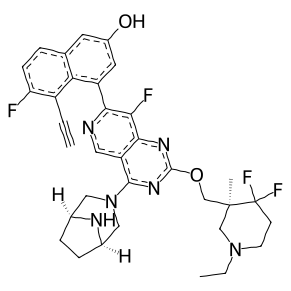 C#Cc1c(F)ccc2cc(O)cc(-c3ncc4c(N5C[C@H]6CC[C@@H](C5)N6)nc(OC[C@]5(C)CN(CC)CCC5(F)F)nc4c3F)c12